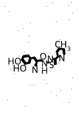 Cc1ccnc(-c2csc(NC(=O)/C(C#N)=C/c3ccc(O)c(O)c3)n2)c1